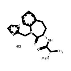 CN[C@@H](C)C(=O)N[C@H]1CCc2ccccc2N(Cc2nccs2)C1=O.Cl